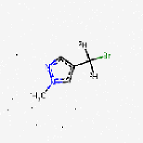 [2H]C([2H])(Br)c1cnn(C)c1